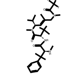 CN[C@H](C(=O)N[C@H](C(=O)N(C)[C@H](/C=C(\C)CN(C)C(=O)C(F)(F)F)C(C)C)C(C)(C)C)C(C)(C)c1ccccc1